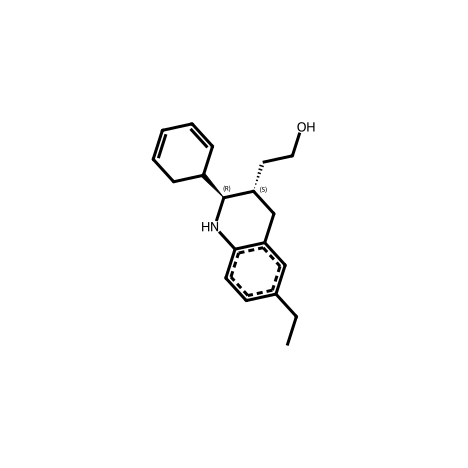 CCc1ccc2c(c1)C[C@@H](CCO)[C@H](C1C=CC=CC1)N2